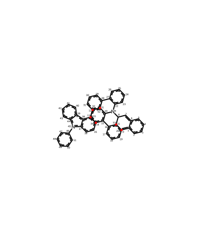 C1=c2ccccc2=CC(N(c2ccccc2-c2ccccc2)c2ccccc2-c2cccc(-c3cccc4c3c3ccccc3n4-c3ccccc3)c2)C1